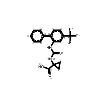 O=C(Nc1cc(C(F)(F)F)ccc1-c1ccccc1)NC1(C(=O)O)CC1